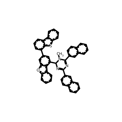 CN1C(c2ccc3ccccc3c2)=NC(c2ccc3ccccc3c2)=NC1c1cc(-c2cccc3c2sc2ccccc23)cc2oc3ccccc3c12